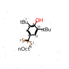 CCCCCCCCSC(=S)c1cc(C(C)(C)C)c(O)c(C(C)(C)C)c1